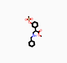 COC(=O)C(CNCc1ccccc1)c1cccc(OS(C)(=O)=O)c1